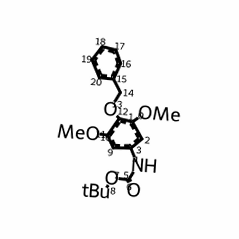 COc1cc(NC(=O)OC(C)(C)C)cc(OC)c1OCc1ccccc1